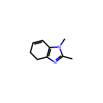 Cc1nc2c(n1C)C=CCC2